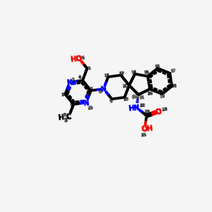 Cc1cnc(CO)c(N2CCC3(CC2)Cc2ccccc2[C@@H]3NC(=O)O)n1